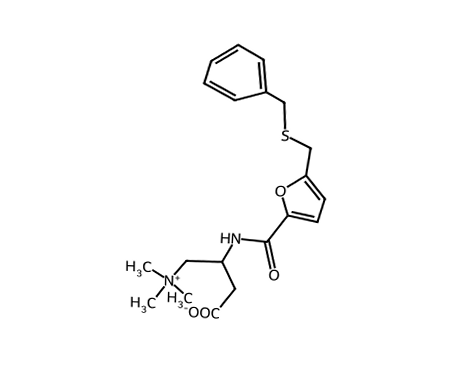 C[N+](C)(C)CC(CC(=O)[O-])NC(=O)c1ccc(CSCc2ccccc2)o1